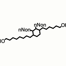 CCCCCCCCCC1C(CCCCCCO)CCC(CCCCCCCCO)C1CCCCCCCCC